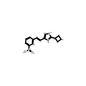 O=[N+]([O-])c1cccc(C=Cc2csc(C3CCC3)n2)c1